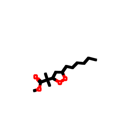 CCCCCCC1CC(C(C)(C)C(=O)OC)OO1